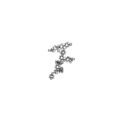 C[C@@]1(CN2CCC3(CC2)CNC3)CCC(c2ccc(Cl)cc2)=C(CN2CCN(c3ccc(C(=O)NS(=O)(=O)c4ccc(NCCCN5CCOCC5)c(S(=O)(=O)C(F)(F)F)c4)c(Oc4cnc5[nH]ccc5c4)c3)CC2)C1